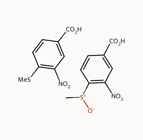 CSc1ccc(C(=O)O)cc1[N+](=O)[O-].C[S+]([O-])c1ccc(C(=O)O)cc1[N+](=O)[O-]